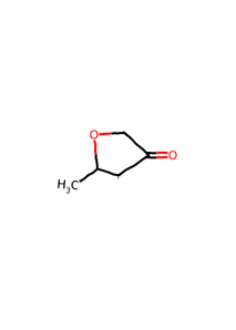 CC1[CH]C(=O)CO1